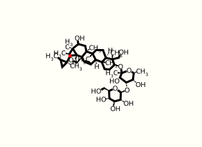 CC1C[C@]1(C)C[C@@H]1[C@]2(C)C(O)C[C@]3(C)[C@@]1(C=C[C@@H]1[C@@]4(C)CC[C@H](O[C@]5(C)O[C@H](C)[C@H](O)[C@H](O[C@@H]6O[C@H](CO)[C@@H](O)[C@H](O)[C@H]6O)[C@H]5O)[C@@](C)(CO)[C@@H]4CC[C@]13C)CO[C@H]2C